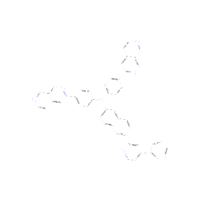 c1ccc2c(c1)oc1c(-c3ccc4cc(N(c5ccc(-c6cc7ccncc7cn6)cc5)c5ccc(-c6cc7ccncc7cn6)cc5)ccc4c3)nccc12